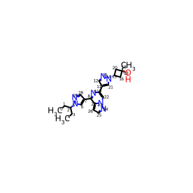 CCC(CC)n1cc(-c2nc(-c3cnn([C@H]4C[C@@](C)(O)C4)c3)cn3nccc23)cn1